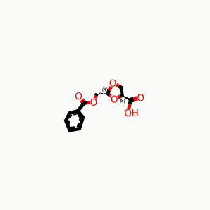 O=C(OC[C@@H]1OC[C@@H](C(=O)O)O1)c1ccccc1